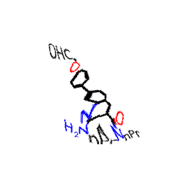 CCCN(CCC)C(=O)C1=Cc2ccc(-c3ccc(OCC=O)cc3)cc2N=C(N)C1